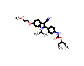 CCC(CC)OC(=O)Nc1ccc(-c2c(C#N)c3ccc(OCCOC)cc3n2C(C)C)cc1